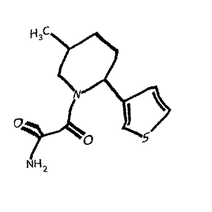 CC1CCC(c2ccsc2)N(C(=O)C(N)=O)C1